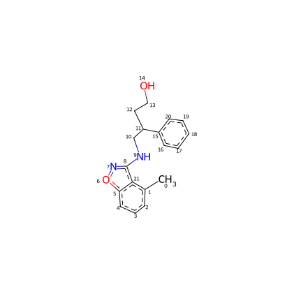 Cc1cccc2onc(NCC(CCO)c3ccccc3)c12